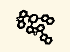 C1=C(c2ccc3ccccc3c2)CC=C(c2cccc3sc4ccccc4c23)N=C1c1cccc2oc3c(-c4ccc5ccccc5c4)cccc3c12